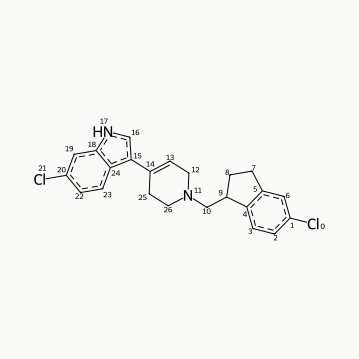 Clc1ccc2c(c1)CCC2CN1CC=C(c2c[nH]c3cc(Cl)ccc23)CC1